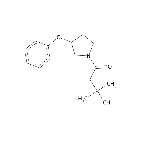 CC(C)(C)CC(=O)N1CCC(Oc2ccccc2)C1